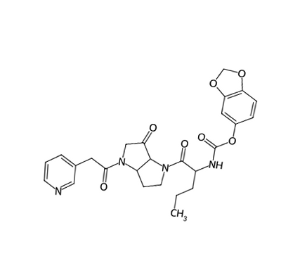 CCCC(NC(=O)Oc1ccc2c(c1)OCO2)C(=O)N1CCC2C1C(=O)CN2C(=O)Cc1cccnc1